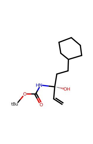 C=C[C@](O)(CCC1CCCCC1)NC(=O)OC(C)(C)C